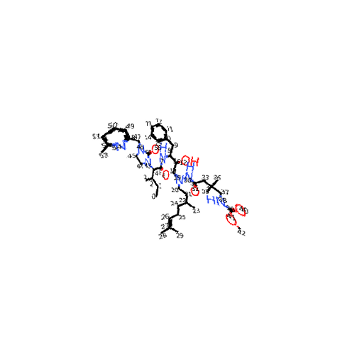 CCC(C)C(C(=O)NC(Cc1ccccc1)C(O)CN(CCC(C)CCC=C(C)C)NC(=O)CC(C)(C)CNC(=O)OC)N1CCN(Cc2cccc(C)n2)C1=O